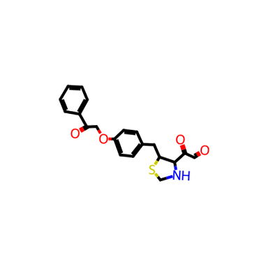 O=CC(=O)C1NCSC1Cc1ccc(OCC(=O)c2ccccc2)cc1